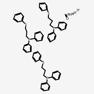 [C]=O.[H-].[H-].[H-].[Rh+3].c1ccc(SCCCP(c2ccccc2)c2ccccc2)cc1.c1ccc(SCCCP(c2ccccc2)c2ccccc2)cc1.c1ccc(SCCCP(c2ccccc2)c2ccccc2)cc1